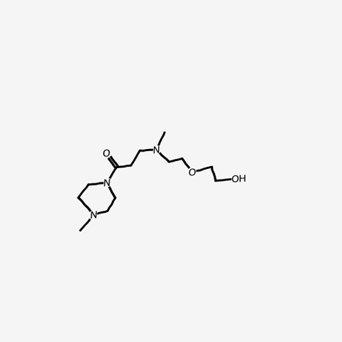 CN(CCOCCO)CCC(=O)N1CCN(C)CC1